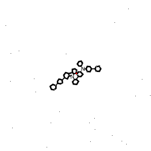 c1ccc(-c2ccc(-c3ccc4c5ccccc5n(-c5ccccc5-c5ccc(N(c6ccccc6)c6ccc(-c7ccccc7)cc6)cc5)c4c3)cc2)cc1